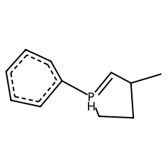 CC1C=[PH](c2ccccc2)CC1